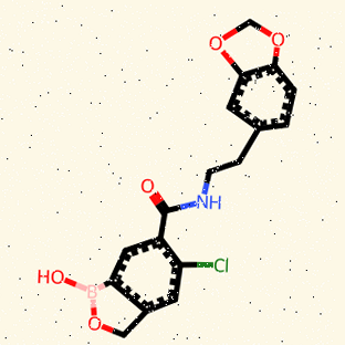 O=C(NCCc1ccc2c(c1)OCO2)c1cc2c(cc1Cl)COB2O